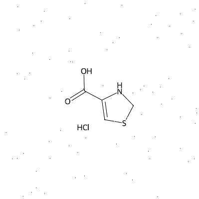 Cl.O=C(O)C1=CSCN1